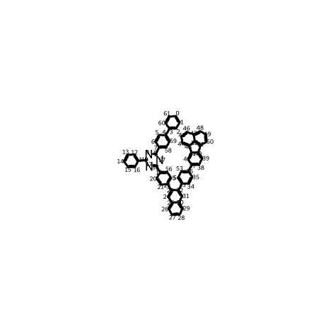 c1ccc(-c2ccc(-c3nc(-c4ccccc4)nc(-c4ccc(-c5cc6ccccc6cc5-c5ccc(-c6ccc7c(c6)-c6cccc8cccc-7c68)cc5)cc4)n3)cc2)cc1